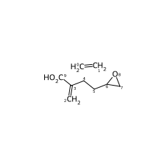 C=C.C=C(CCC1CO1)C(=O)O